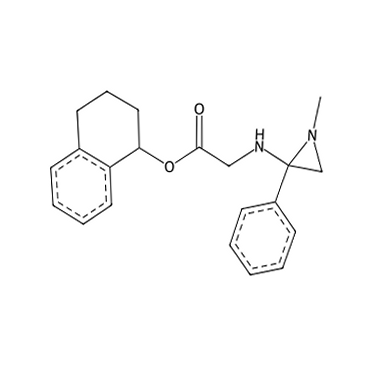 CN1CC1(NCC(=O)OC1CCCc2ccccc21)c1ccccc1